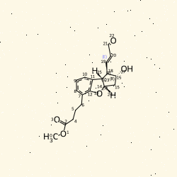 COC(=O)CCCc1cccc2c1O[C@H]1C[C@@H](O)[C@H](/C=C/C=O)[C@@H]21